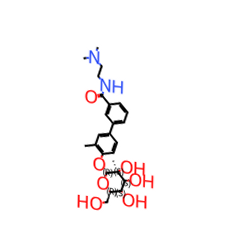 Cc1cc(-c2cccc(C(=O)NCCN(C)C)c2)ccc1O[C@H]1O[C@H](CO)[C@@H](O)[C@H](O)[C@]1(C)O